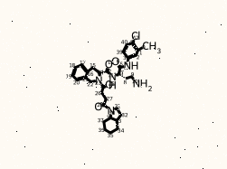 Cc1cc(NC(=O)[C@H](CCN)NC(=O)[C@@H]2Cc3ccccc3CN2C(=O)CCC(=O)N2CCC3CCCCC32)ccc1Cl